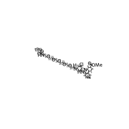 COC(=O)c1ccc2c(c1)nc(Nc1cc(Cl)cc(NCCOCCOCCOCCOCCOCCNC(=O)OC(C)(C)C)c1)c1ccncc12